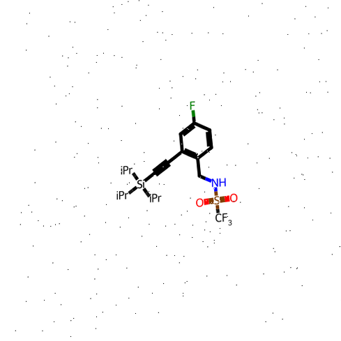 CC(C)[Si](C#Cc1cc(F)ccc1CNS(=O)(=O)C(F)(F)F)(C(C)C)C(C)C